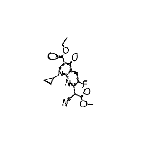 CCOC(=O)c1cn(C2CC2)c2nc(C(C#N)C(=O)OC)c(F)cc2c1=O